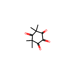 CC1(C)C(=O)C(=O)C(=O)C(C)(C)C1=O